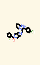 O=C(c1ccccc1F)N1CC2CN(CC3=C(c4ccc(Cl)cc4)NC4C=CC=CN34)CC2C1